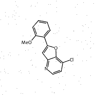 COc1ccccc1-c1cc2nccc(Cl)c2o1